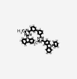 Cc1nc(-c2cccc(-c3cccc(-c4nc(C)nc(-n5c6ccccc6c6ccccc65)n4)c3)c2)nc(-c2ccc3c(c2)c2ccccc2n3-c2ccccc2)n1